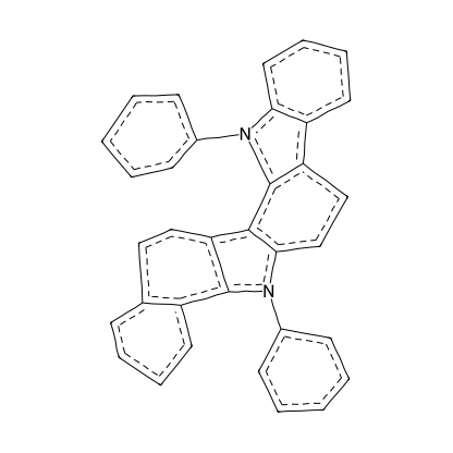 c1ccc(-n2c3ccc4c5ccccc5n(-c5ccccc5)c4c3c3ccc4ccccc4c32)cc1